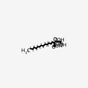 CCCCCCCCCCCCCCC(C(=O)O)C(=O)C(O)(O)CO